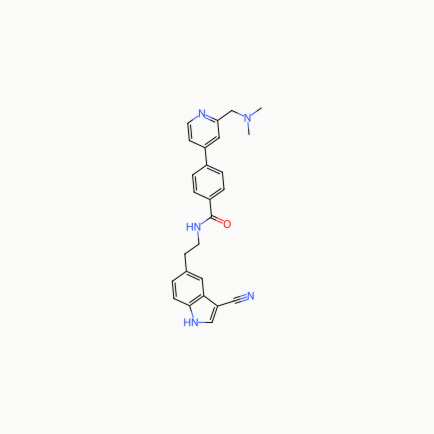 CN(C)Cc1cc(-c2ccc(C(=O)NCCc3ccc4[nH]cc(C#N)c4c3)cc2)ccn1